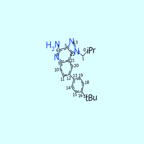 CC(C)Cn1cnc2c(N)nc3ccc(-c4ccc(C(C)(C)C)cc4)cc3c21